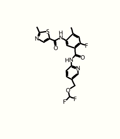 Cc1ncc(C(=O)Nc2cc(C(=O)Nc3ccc(COC(F)F)cn3)c(F)cc2C)s1